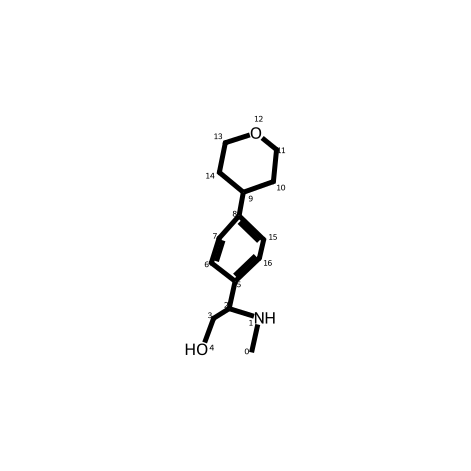 CNC(CO)c1ccc(C2CCOCC2)cc1